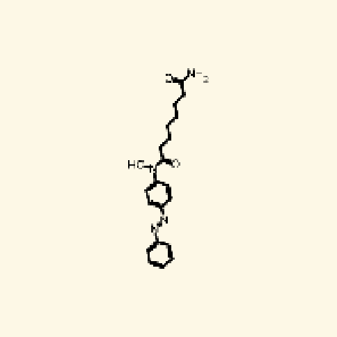 NC(=O)CCCCCCC(=O)N(O)c1ccc(/N=N/c2ccccc2)cc1